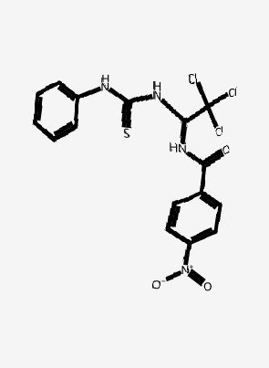 O=C(NC(NC(=S)Nc1ccccc1)C(Cl)(Cl)Cl)c1ccc([N+](=O)[O-])cc1